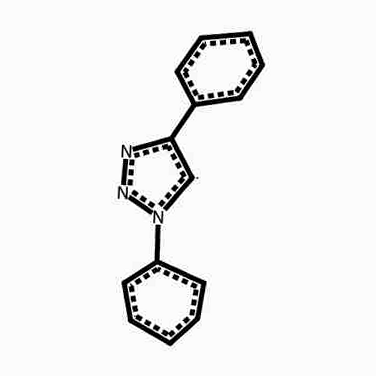 [c]1c(-c2ccccc2)nnn1-c1ccccc1